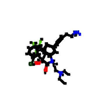 CCN(CC)CCN1C(=O)C(O)(c2ccccc2Cl)c2c1cc(C#CCCN)cc2C(F)(F)F